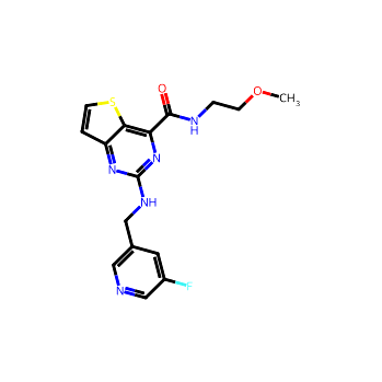 COCCNC(=O)c1nc(NCc2cncc(F)c2)nc2ccsc12